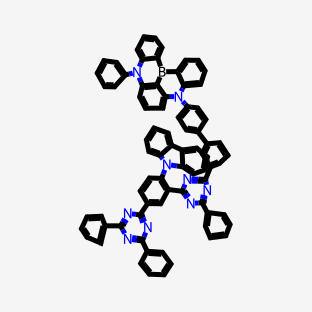 c1ccc(-c2nc(-c3ccccc3)nc(-c3ccc(-n4c5ccccc5c5ccccc54)c(-c4nc(-c5ccccc5)nc(-c5cccc(-c6ccc(N7c8ccccc8B8c9ccccc9N(c9ccccc9)c9cccc7c98)cc6)c5)n4)c3)n2)cc1